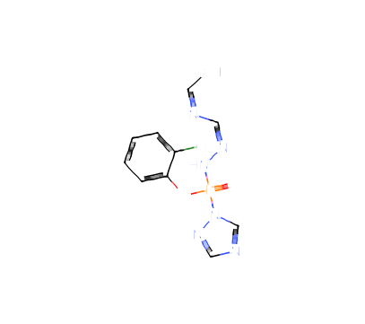 C/C=N\C=N/NP(=O)(Oc1ccccc1Cl)n1cncn1